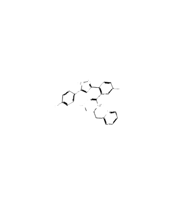 O=C(N[C@@H](CO)Cc1ccccn1)c1cc(F)ccc1-c1cc(-c2ccc(F)cc2)[nH]n1